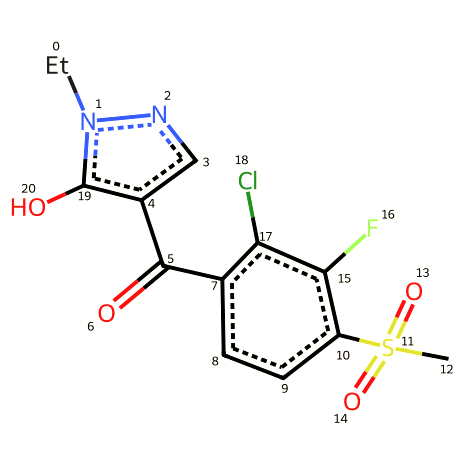 CCn1ncc(C(=O)c2ccc(S(C)(=O)=O)c(F)c2Cl)c1O